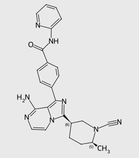 C[C@H]1CC[C@@H](c2nc(-c3ccc(C(=O)Nc4ccccn4)cc3)c3c(N)nccn23)CN1C#N